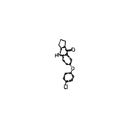 O=c1c2c([nH]c3ccc(Oc4ccc(Cl)cc4)cc13)CCC2